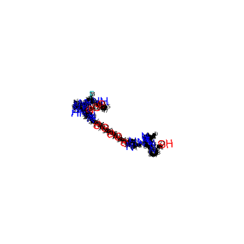 CCc1cnn2c(NCc3ccc(OCCOCCOCCOCCOCCn4cc(Nc5nc(N6C[C@@H](F)[C@H](NC(=O)OC(C)(C)C)C6)nc6c5ncn6C)c(OC)n4)nc3)cc(N3CCCC[C@H]3CCO)nc12